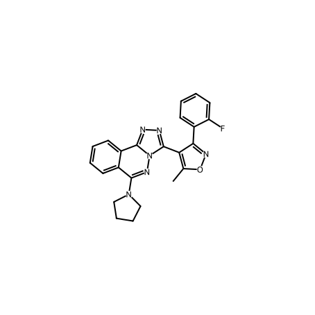 Cc1onc(-c2ccccc2F)c1-c1nnc2c3ccccc3c(N3CCCC3)nn12